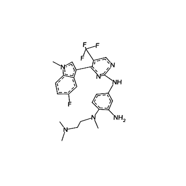 CN(C)CCN(C)c1ccc(Nc2ncc(C(F)(F)F)c(-c3cn(C)c4ccc(F)cc34)n2)cc1N